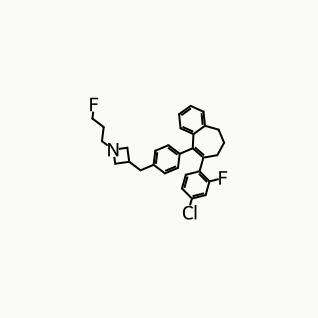 FCCCN1CC(Cc2ccc(C3=C(c4ccc(Cl)cc4F)CCCc4ccccc43)cc2)C1